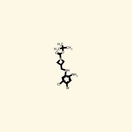 CC(C)(C)OC(=O)N1CC(CNc2cc(Cl)c(Br)cc2N)C1